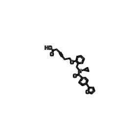 O=C(O)CC#CCCOc1ccccc1CN(C(=O)c1ccc(-c2ccco2)cc1)C1CC1